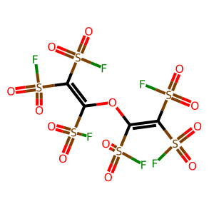 O=S(=O)(F)C(OC(=C(S(=O)(=O)F)S(=O)(=O)F)S(=O)(=O)F)=C(S(=O)(=O)F)S(=O)(=O)F